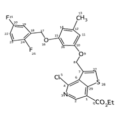 CCOC(=O)c1cnc(Cl)c2c(COc3cc(C)cc(OCc4cc(F)ccc4F)c3)csc12